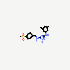 Cc1cc(C)cc(Nc2n[nH]c(NCc3ccc(S(C)(=O)=O)cc3)n2)c1